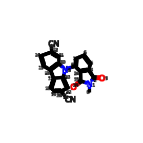 CN1C(=O)c2cccc(-n3c4cc(C#N)ccc4c4ccc(C#N)cc43)c2C1=O